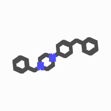 C1=C(Cc2ccccc2)CCC(N2CCN(Cc3ccccc3)CC2)C1